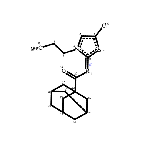 COCCn1cc(Cl)s/c1=N/C(=O)C12CC3CC(CC(C3)C1)C2